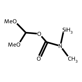 COC(OC)OC(=O)N(C)[SiH3]